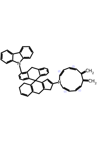 C=C1/C=C\C=C/N(C2=CC3=C(C2)CC2=C(CCC=C2)C32c3ccccc3Cc3c(-n4c5ccccc5c5ccccc54)cccc32)/C=C\C=C/C1=C